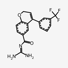 NC(N)=NC(=O)c1ccc2c(c1)C(c1cccc(C(F)(F)F)c1)=CCO2